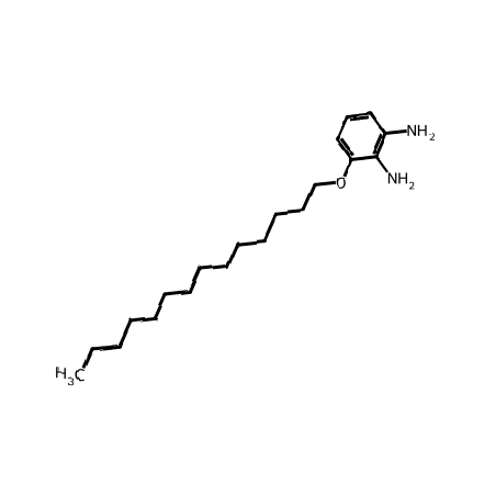 CCCCCCCCCCCCCCOc1cccc(N)c1N